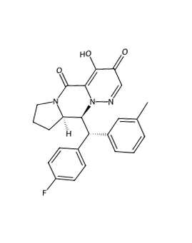 Cc1cccc([C@H](c2ccc(F)cc2)[C@H]2[C@H]3CCCN3C(=O)c3c(O)c(=O)cnn32)c1